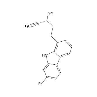 C#CC(CCC)CCc1cccc2c1[nH]c1cc(CC)ccc12